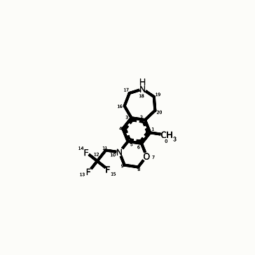 Cc1c2c(cc3c1OCCN3CC(F)(F)F)CCNCC2